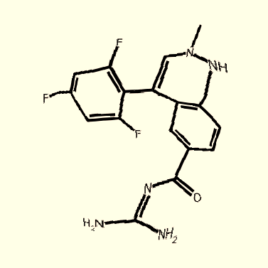 CN1C=C(c2c(F)cc(F)cc2F)c2cc(C(=O)N=C(N)N)ccc2N1